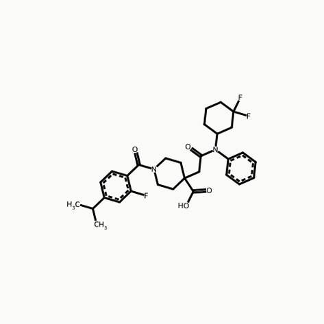 CC(C)c1ccc(C(=O)N2CCC(CC(=O)N(c3ccccc3)C3CCCC(F)(F)C3)(C(=O)O)CC2)c(F)c1